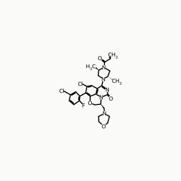 C=CC(=O)N1C[C@H](C)N(c2nc(=O)n3c4c(c(-c5cc(Cl)ccc5F)c(Cl)cc24)OC[C@@H]3CN2CCOCC2)C[C@H]1C